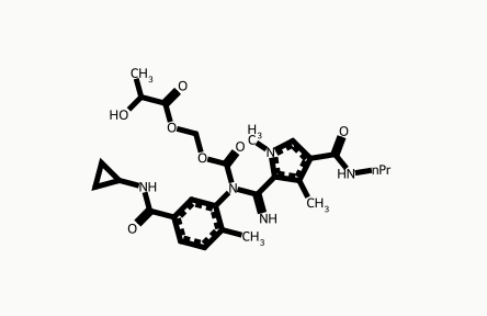 CCCNC(=O)c1cn(C)c(C(=N)N(C(=O)OCOC(=O)C(C)O)c2cc(C(=O)NC3CC3)ccc2C)c1C